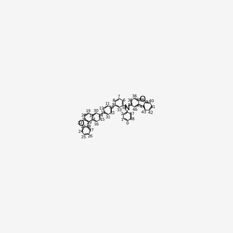 c1ccc(N(c2cccc(-c3ccc(-c4ccc5c(ccc6oc7ccccc7c65)c4)cc3)c2)c2ccc3oc4ccccc4c3c2)cc1